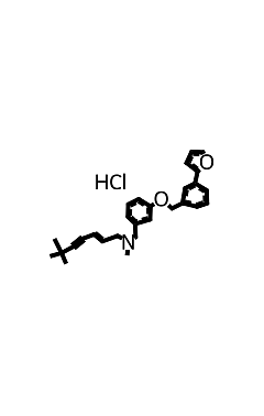 CN(CC=CC#CC(C)(C)C)Cc1cccc(OCc2cccc(-c3ccco3)c2)c1.Cl